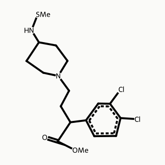 COC(=O)C(CCN1CCC(NSC)CC1)c1ccc(Cl)c(Cl)c1